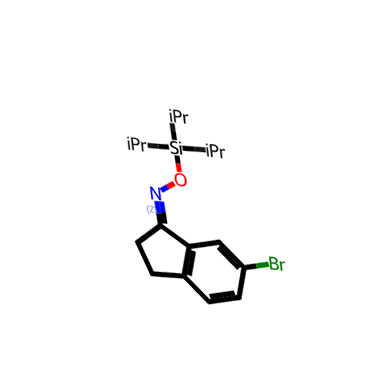 CC(C)[Si](O/N=C1/CCc2ccc(Br)cc21)(C(C)C)C(C)C